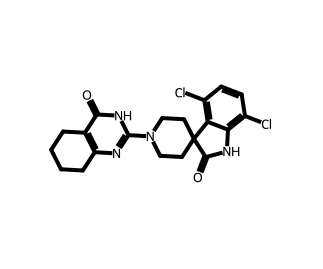 O=C1Nc2c(Cl)ccc(Cl)c2C12CCN(c1nc3c(c(=O)[nH]1)CCCC3)CC2